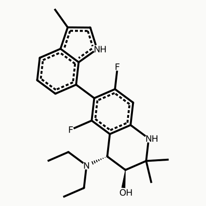 CCN(CC)[C@@H]1c2c(cc(F)c(-c3cccc4c(C)c[nH]c34)c2F)NC(C)(C)[C@H]1O